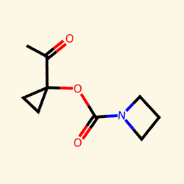 CC(=O)C1(OC(=O)N2CCC2)CC1